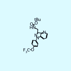 CC(C)(C)OC(=O)NCc1nn(-c2ccc(OC(F)(F)F)cc2)c2cccnc12